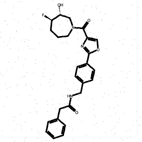 O=C(Cc1ccccc1)NCc1ccc(-c2nc(C(=O)N3CCC[C@@H](F)[C@H](O)C3)co2)cc1